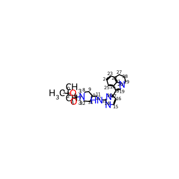 CC(C)(C)OC(=O)N1CCC(CNc2nccc(-c3cn4c5c(cccc35)CCC4)n2)CC1